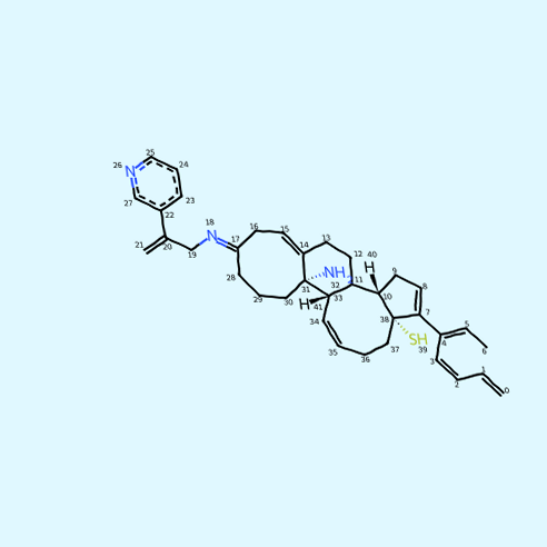 C=C/C=C\C(=C/C)C1=CC[C@H]2C3CC/C4=C/C/C(=N/CC(=C)c5cccnc5)CCC[C@]4(N)[C@H]3C=CCC[C@]12S